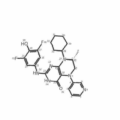 C[C@@H]1CN(c2cccnc2)c2c(nc(Nc3cc(F)c(O)c(F)c3)[nH]c2=O)N1C1CCCCC1